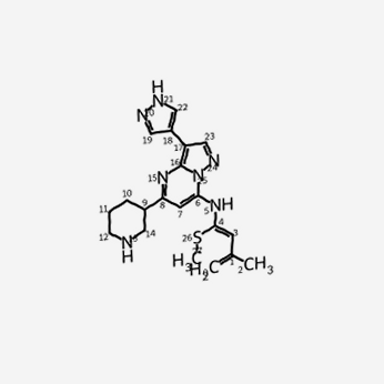 C=C(C)/C=C(/Nc1cc(C2CCCNC2)nc2c(-c3cn[nH]c3)cnn12)SC